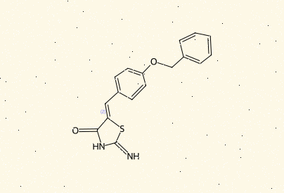 N=C1NC(=O)/C(=C/c2ccc(OCc3ccccc3)cc2)S1